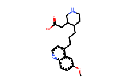 COc1ccc2nccc(CCCC3CCNCC3CC(=O)O)c2c1